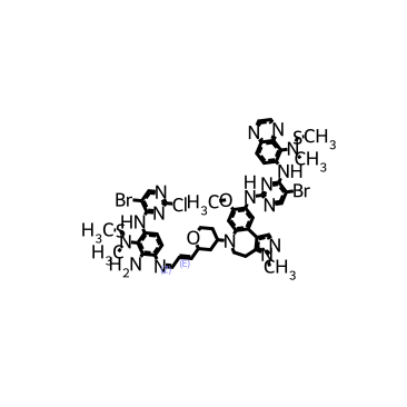 COc1cc2c(cc1Nc1ncc(Br)c(Nc3ccc4nccnc4c3N(C)SC)n1)-c1cnn(C)c1CCN2C1CCOC(/C=C/C=N\c2ccc(Nc3nc(Cl)ncc3Br)c(N(C)SC)c2N)C1